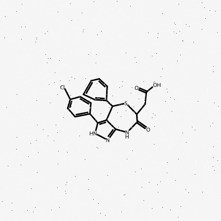 O=C(O)CC1SC(c2ccccc2)c2c(n[nH]c2-c2ccc(Cl)cc2)NC1=O